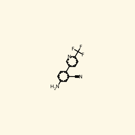 N#Cc1cc(N)ccc1-c1ccc(C(F)(F)F)nc1